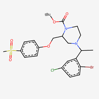 CC(c1cc(Cl)ccc1Br)N1CCN(C(=O)OC(C)(C)C)C(COc2ccc(S(C)(=O)=O)cc2)C1